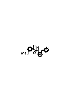 COc1cccc(NC(=O)NC2C3CCN(CC3)C2Cc2cccnc2)c1